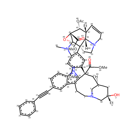 CC[C@]1(O)C[C@H]2CN(CCc3c([nH]c4ccc(C#Cc5ccccc5)cc34)[C@@](C(=O)OC)(c3cc4c(cc3OC)N(C)[C@@]35O[C@]3(C(=O)OC)[C@H](OC(C)=O)[C@]3(CC)C=CCN6CC[C@]45[C@@H]63)C2)C1